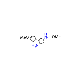 COCCNc1ccc(N)c(-c2ccc(OC)cc2)c1